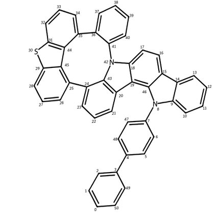 c1ccc(-c2ccc(-n3c4ccccc4c4ccc5c(c6cccc7c8cccc9sc%10cccc(c%11ccccc%11n5c76)c%10c98)c43)cc2)cc1